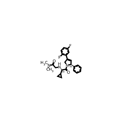 CN(C)C(=O)CN[C@H](C(=O)N1CC(c2cc(F)ccc2F)=C[C@H]1c1ccccc1)C1CC1